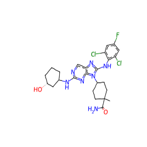 CC1(C(N)=O)CCC(n2c(Nc3c(Cl)cc(F)cc3Cl)nc3cnc(NC4CCC[C@@H](O)C4)nc32)CC1